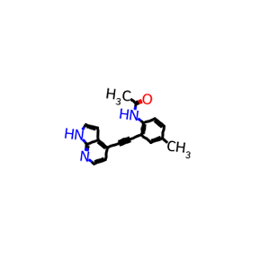 CC(=O)Nc1ccc(C)cc1C#Cc1ccnc2[nH]ccc12